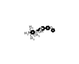 Cc1cc(OC[C@@H](O)CN2CCC(c3ccc(OC4CCCC4)cc3)CC2)c(C)c(C)c1N